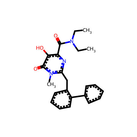 CCN(CC)C(=O)c1nc(Cc2ccccc2-c2ccccc2)n(C)c(=O)c1O